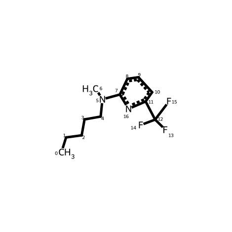 CCCCCN(C)c1cccc(C(F)(F)F)n1